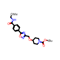 COCNC(=O)c1ccc(-c2nc(COC3CCN(C(=O)OC(C)(C)C)CC3)no2)cc1